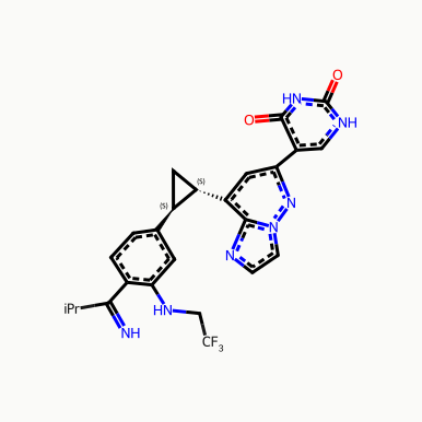 CC(C)C(=N)c1ccc([C@H]2C[C@@H]2c2cc(-c3c[nH]c(=O)[nH]c3=O)nn3ccnc23)cc1NCC(F)(F)F